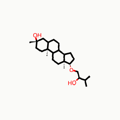 CC(C)C(O)CO[C@H]1CCC2C3CCC4C[C@@](C)(O)CC[C@]4(C)C3CC[C@@]21C